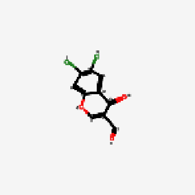 O=Cc1coc2cc(Cl)c(Cl)cc2c1=O